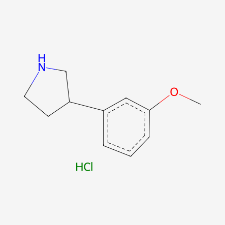 COc1cccc(C2CCNC2)c1.Cl